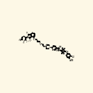 CC1(C)C(NC(=O)c2ccc(N3CCN(CCOCCCNc4cccc5c4C(=O)N(C4CCC(=O)NC4=O)C5=O)CC3)nc2)C(C)(C)C1Oc1ccc(C#N)c(Cl)c1